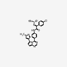 Cn1cc(-c2ccc3ncnc(-c4ccc(NC(=O)C(=N[S+]([O-])C(C)(C)C)c5ccc(Cl)cc5)cc4)n23)cn1